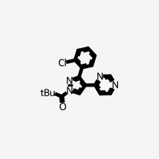 CC(C)(C)C(=O)n1cc(-c2ccncn2)c(-c2ccccc2Cl)n1